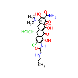 CCCNCC(=O)Nc1c(Cl)cc2c(c1O)C(=O)C1=C(O)C3(O)C(=O)C(C(N)=O)=C(O)[C@@H](N(C)C)C3CC1C2.Cl.Cl